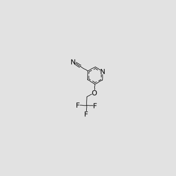 N#Cc1cncc(OCC(F)(F)F)c1